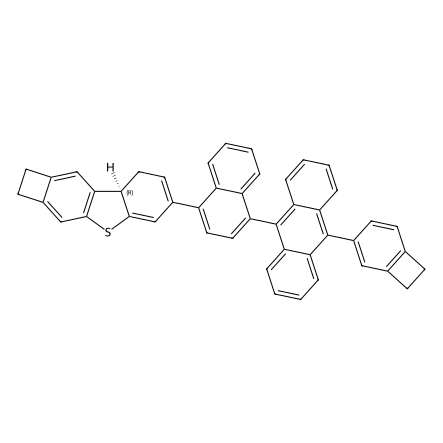 C1=C(c2ccc(-c3c4ccccc4c(-c4ccc5c(c4)CC5)c4ccccc34)c3ccccc23)C=C2Sc3cc4c(cc3[C@H]2C1)CC4